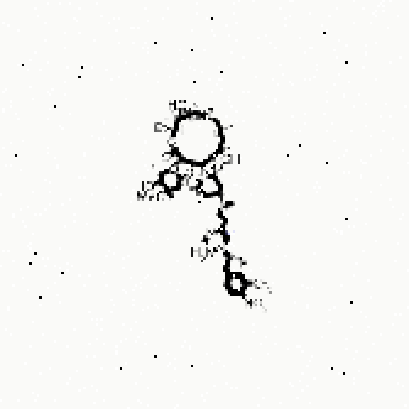 C=N/C(=C\N(N)[C@H](CF)Cc1ccc([N+](=O)[O-])c(C(F)(F)F)c1)CCN(C)[C@@H]1C[C@H](O[C@@H]2[C@@H](I)[C@H](O[C@H]3C[C@@](C)(OC)[C@@H](O)[C@H](C)O3)[C@@H](C)C(=O)O[C@H](CC)[C@@](C)(O)[C@H](O)[C@@H](C)N(C)C[C@H](C)C[C@@]2(C)O)O[C@H](C)C1